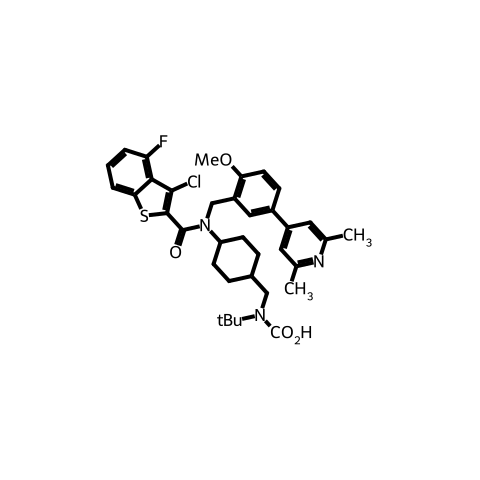 COc1ccc(-c2cc(C)nc(C)c2)cc1CN(C(=O)c1sc2cccc(F)c2c1Cl)C1CCC(CN(C(=O)O)C(C)(C)C)CC1